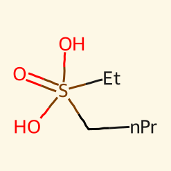 CCCCS(=O)(O)(O)CC